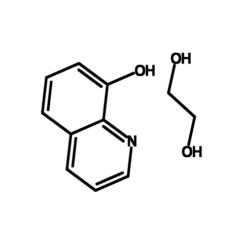 OCCO.Oc1cccc2cccnc12